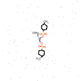 COC[C@@H](COS(=O)(=O)c1ccc(C)cc1)OS(=O)(=O)c1ccc(C)cc1